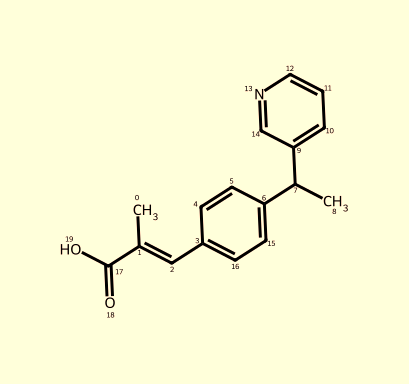 C/C(=C\c1ccc(C(C)c2cccnc2)cc1)C(=O)O